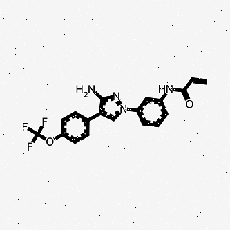 C=CC(=O)Nc1cccc(-n2cc(-c3ccc(OC(F)(F)F)cc3)c(N)n2)c1